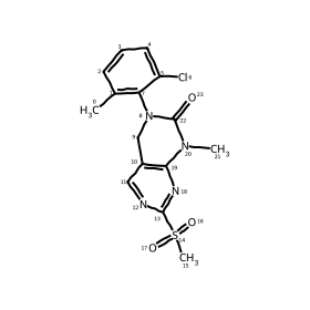 Cc1cccc(Cl)c1N1Cc2cnc(S(C)(=O)=O)nc2N(C)C1=O